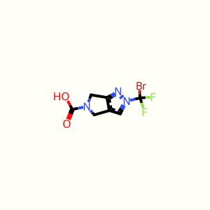 O=C(O)N1Cc2cn(C(F)(F)Br)nc2C1